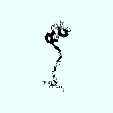 CN(CCOCCOCCOCCOCC#Cc1cccc2c1CN(C1CCC(=O)NC1=O)C2=O)C(=O)OC(C)(C)C